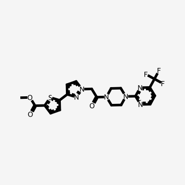 COC(=O)c1ccc(-c2ccn(CC(=O)N3CCN(c4nccc(C(F)(F)F)n4)CC3)n2)s1